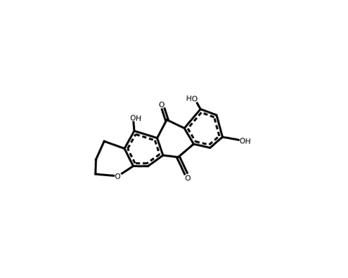 O=C1c2cc(O)cc(O)c2C(=O)c2c1cc1c(c2O)CCCO1